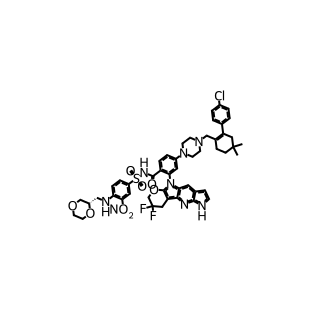 CC1(C)CCC(CN2CCN(c3ccc(C(=O)NS(=O)(=O)c4ccc(NC[C@H]5COCCO5)c([N+](=O)[O-])c4)c(-n4c5c(c6nc7[nH]ccc7cc64)CC(F)(F)CO5)c3)CC2)=C(c2ccc(Cl)cc2)C1